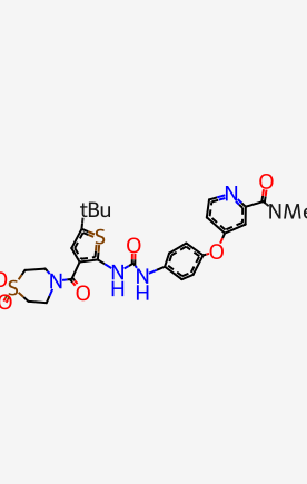 CNC(=O)c1cc(Oc2ccc(NC(=O)Nc3sc(C(C)(C)C)cc3C(=O)N3CCS(=O)(=O)CC3)cc2)ccn1